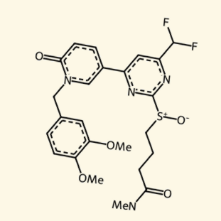 CNC(=O)CCC[S+]([O-])c1nc(-c2ccc(=O)n(Cc3ccc(OC)c(OC)c3)c2)cc(C(F)F)n1